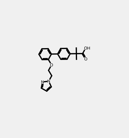 CC(C)(C(=O)O)c1ccc(-c2ccccc2OCCn2cccn2)cc1